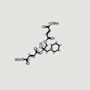 COC(=O)/C=C/C(=O)OCC(C)(CN1CCCCC1)OC(=O)/C=C/C(=O)OC